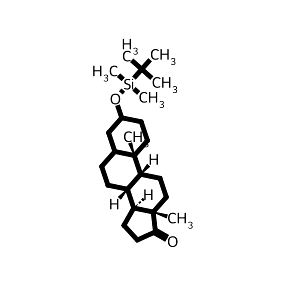 CC(C)(C)[Si](C)(C)OC1CC[C@@]2(C)C(CC[C@@H]3[C@H]2CC[C@]2(C)C(=O)CC[C@@H]32)C1